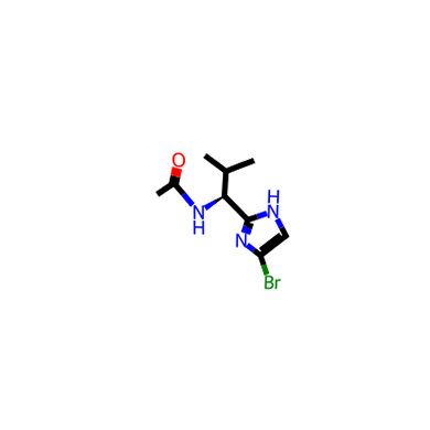 CC(=O)N[C@H](c1nc(Br)c[nH]1)C(C)C